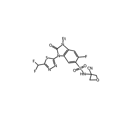 CCn1c(=O)n(-c2nnc(C(F)F)s2)c2cc(S(=O)(=O)NC3(C#N)COC3)c(F)cc21